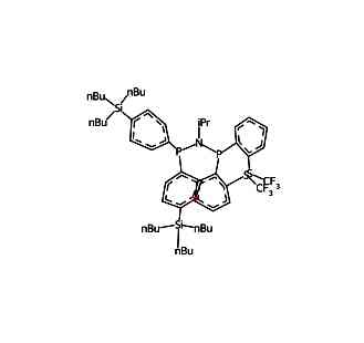 CCCC[Si](CCCC)(CCCC)c1ccc(P(c2ccc([Si](CCCC)(CCCC)CCCC)cc2)N(C(C)C)P(c2ccccc2SC(F)(F)F)c2ccccc2SC(F)(F)F)cc1